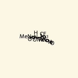 CNC(=O)c1ccc(NCC#Cc2sc3c(NC4CCC(N5CCOCC5)CC4)cccc3c2CC(F)(F)F)c(OC)c1